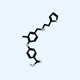 Cc1cc(CNCCc2cccs2)ccc1Oc1ccc(C(N)=O)cc1